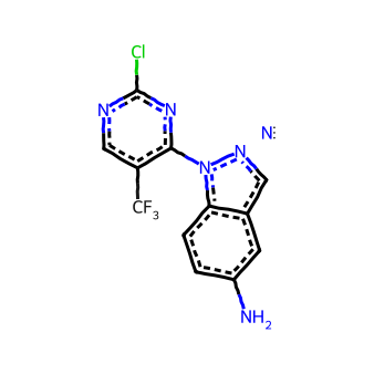 Nc1ccc2c(cnn2-c2nc(Cl)ncc2C(F)(F)F)c1.[N]